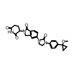 COC1(c2ccc(N3CCN(c4ccc5c(c4)CN(C4CCC(=O)NC4=O)C5=O)C3=O)cc2)CC1